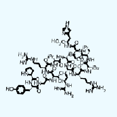 CC[C@H](C)[C@H](NC(=O)[C@H](CCCNC(=N)N)NC(=O)[C@H](CCCNC(=N)N)NC(=O)[C@@H](NC(=O)[C@@H](NC(=O)[C@H](CCCNC(=N)N)NC(=O)[C@@H](NC(=O)CNC(=O)[C@H](Cc1ccc(O)cc1)NC(=O)[C@@H]1CCCN1)[C@@H](C)O)C(C)C)[C@@H](C)CC)C(=O)N[C@@H](CC(C)C)C(=O)N[C@@H](CCC(=O)O)C(=O)N[C@@H](Cc1c[nH]cn1)C(=O)O